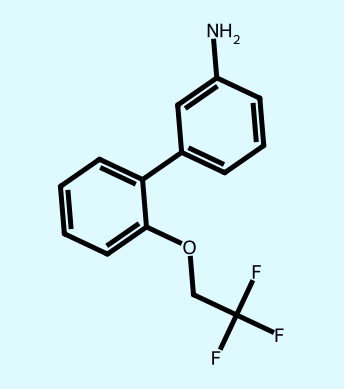 Nc1cccc(-c2ccccc2OCC(F)(F)F)c1